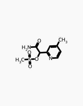 Cc1ccnc(C(OS(C)(=O)=O)C(N)=O)c1